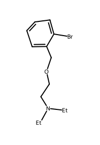 CCN(CC)CCOCc1ccccc1Br